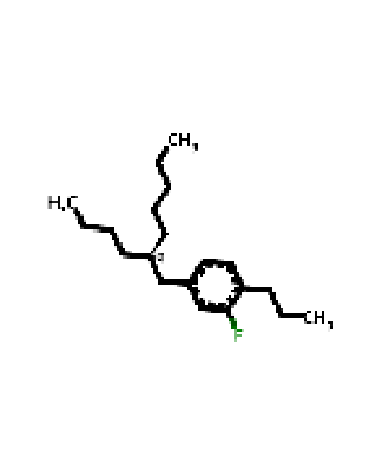 CCCCC[C@H](CCCC)Cc1ccc(CCC)c(F)c1